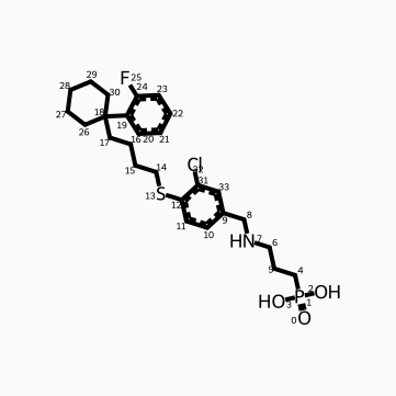 O=P(O)(O)CCCNCc1ccc(SCCCCC2(c3ccccc3F)CCCCC2)c(Cl)c1